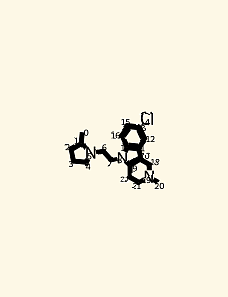 CC1CCCN1CCn1c2c(c3cc(Cl)ccc31)CN(C)CC2